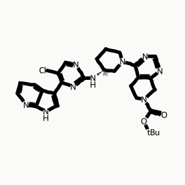 CC(C)(C)OC(=O)N1CCc2c(ncnc2N2CCC[C@@H](Nc3ncc(Cl)c(-c4c[nH]c5ncccc45)n3)C2)C1